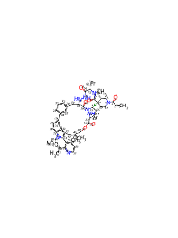 C=CC(=O)N1CCC(F)(C(=O)N(C)[C@H](C(=O)NN[C@H]2Cc3cccc(c3)-c3ccc4c(c3)c(c(-c3cccnc3[C@H](C)OC)n4CC)CC(C)(C)COC(=O)[C@@H]3CCCN(N3)C2=O)C(C)C)CC1